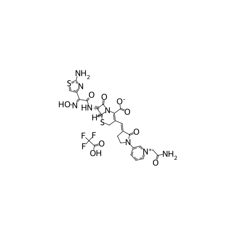 NC(=O)C[n+]1cccc(N2CCC(=CC3=C(C(=O)[O-])N4C(=O)[C@@H](NC(=O)C(=NO)c5csc(N)n5)[C@H]4SC3)C2=O)c1.O=C(O)C(F)(F)F